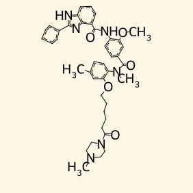 COc1cc(C(=O)N(C)c2ccc(C)cc2OCCCCCC(=O)N2CCN(C)CC2)ccc1NC(=O)c1cccc2[nH]c(-c3ccccc3)nc12